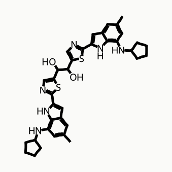 Cc1cc(NC2CCCC2)c2[nH]c(-c3ncc(C(O)C(O)c4cnc(-c5cc6cc(C)cc(NC7CCCC7)c6[nH]5)s4)s3)cc2c1